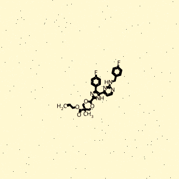 C=CCOC(=O)C1(C)COC(c2nc(-c3ccc(F)cc3)c(-c3ccnc(NCc4ccc(F)cc4)n3)[nH]2)OC1